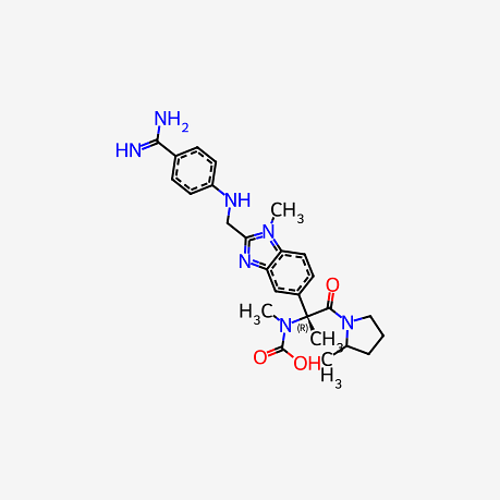 CC1CCCN1C(=O)[C@@](C)(c1ccc2c(c1)nc(CNc1ccc(C(=N)N)cc1)n2C)N(C)C(=O)O